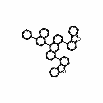 c1ccc(-c2ccc(-c3c4cccc(-c5cccc6oc7ccccc7c56)c4cc4c(-c5cccc6oc7ccccc7c56)cccc34)c3ccccc23)cc1